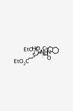 CCOC(=O)CCSC[C@@H](N[C@@H](C)C(=O)N1C2CCCCC2C[C@H]1C(=O)O)C(=O)OCC